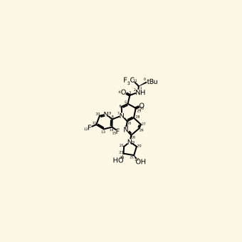 CC(C)(C)[C@@H](NC(=O)c1cn(-c2ncc(F)cc2F)c2nc(N3C[C@@H](O)[C@H](O)C3)ccc2c1=O)C(F)(F)F